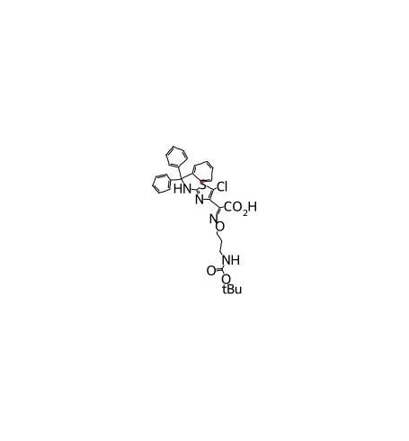 CC(C)(C)OC(=O)NCCCO/N=C(\C(=O)O)c1nc(NC(c2ccccc2)(c2ccccc2)c2ccccc2)sc1Cl